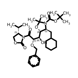 CC(C)[C@H]1COC(=O)N1C(=O)[C@@H](OCc1ccccc1)[C@H](O)[C@@H]1OC(C)(C)N(C(=O)OC(C)(C)C)[C@H]1CC1CCCCC1